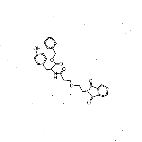 O=C(CCOCCN1C(=O)c2ccccc2C1=O)N[C@@H](Cc1ccc(O)cc1)C(=O)OCc1ccccc1